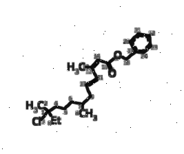 CCC(C)(Cl)CCCC(C)CC=CC(C)=CC(=O)OCc1ccccc1